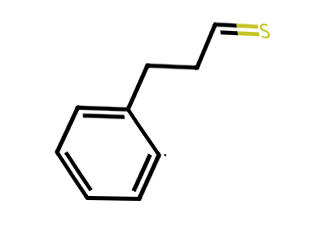 S=CCCc1[c]cccc1